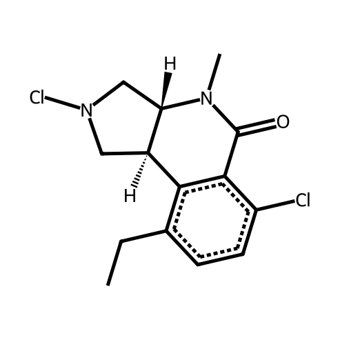 CCc1ccc(Cl)c2c1[C@H]1CN(Cl)C[C@@H]1N(C)C2=O